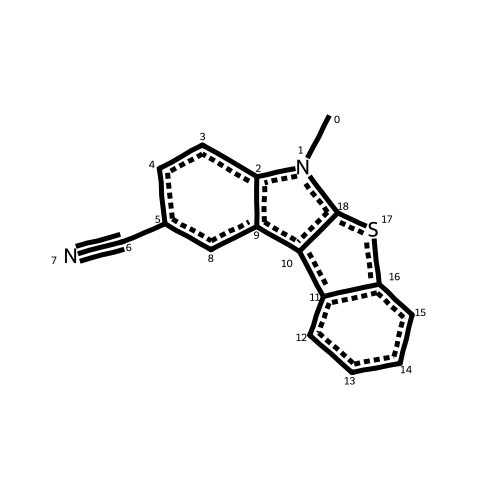 Cn1c2ccc(C#N)cc2c2c3ccccc3sc21